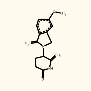 C=C1NC(=O)CCC1N1Cc2cc(OC)ccc2C1=C